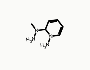 CN(N)C1C=CC=CN1N